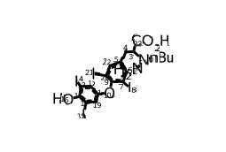 CCCCN(N)C(Cc1cc(I)c(Oc2cc(I)c(O)c(I)c2)c(I)c1)C(=O)O